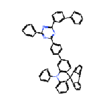 c1ccc(-c2cccc(-c3nc(-c4ccccc4)nc(-c4ccc(-c5ccc6c(c5)N(c5ccccc5)c5ccccc5C65c6ccccc6-c6ccccc65)cc4)n3)c2)cc1